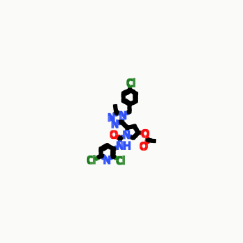 CC(=O)OC1CC(c2nnc(C)n2Cc2ccc(Cl)cc2)N(C(=O)Nc2ccc(Cl)nc2Cl)C1